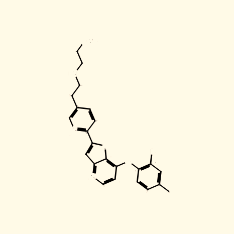 COCCNCCc1ccc(-c2cc3nccc(Oc4ccc(C)cc4F)c3s2)nc1